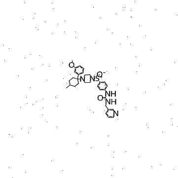 COc1cccc(C2(N3CCN([S+]([O-])c4ccc(NC(=O)NCc5cccnc5)cc4)CC3)CCC(C)CC2)c1